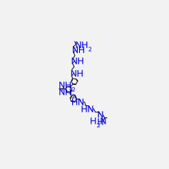 CC(N)CNCCCNCCCNCc1cccc(-c2cc(-c3cccc(CNCCCNCCCNCC(C)N)c3)cc(C(C)(N)N)c2)c1